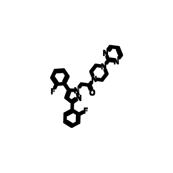 O=C(Cn1nc(-c2ccccc2F)cc1-c1ccccc1F)N1CCN(c2ncccn2)CC1